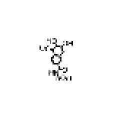 CCCCCCCCNC(=O)c1ccc2c(c1)C=C(O)C(O)C2=C=O